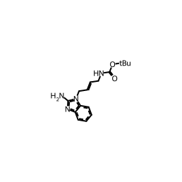 CC(C)(C)OC(=O)NC/C=C/Cn1c(N)nc2ccccc21